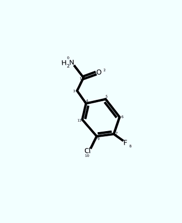 NC(=O)Cc1ccc(F)c(Cl)c1